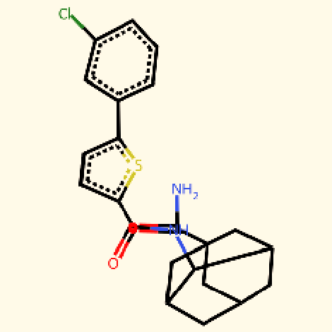 NC(=O)C12CC3CC(C1)C(NC(=O)c1ccc(-c4cccc(Cl)c4)s1)C(C3)C2